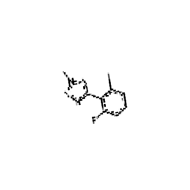 Cn1nnc(-c2c(F)cccc2I)n1